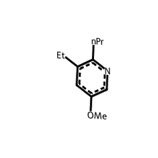 CCCc1ncc(OC)cc1CC